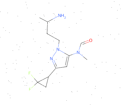 CC(N)CCn1nc(C2CC2(F)F)cc1N(C)C=O